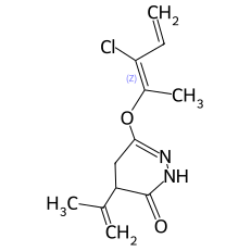 C=C/C(Cl)=C(\C)OC1=NNC(=O)C(C(=C)C)C1